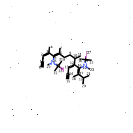 C#C/C=C(C)\C(=C(/C)CCC(C)C(=C/C#C)/C(=C(\C)C(C)C)N(C)C(C)(C)I)N(C)C(C)(C)I